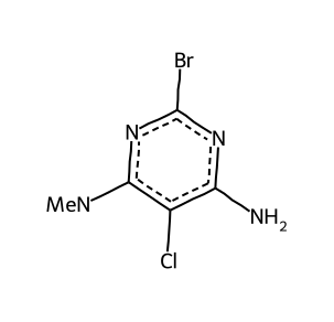 CNc1nc(Br)nc(N)c1Cl